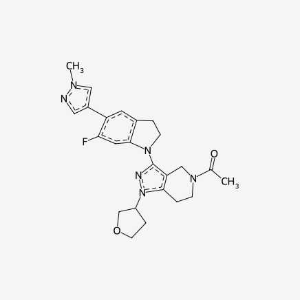 CC(=O)N1CCc2c(c(N3CCc4cc(-c5cnn(C)c5)c(F)cc43)nn2C2CCOC2)C1